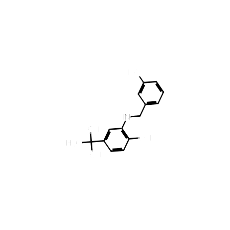 Cc1cccc(CNc2cc(C(C)(C)C)ccc2O)c1